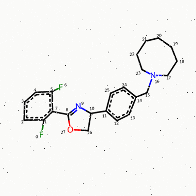 Fc1cccc(F)c1C1=NC(c2ccc(CN3CCCCCCC3)cc2)CO1